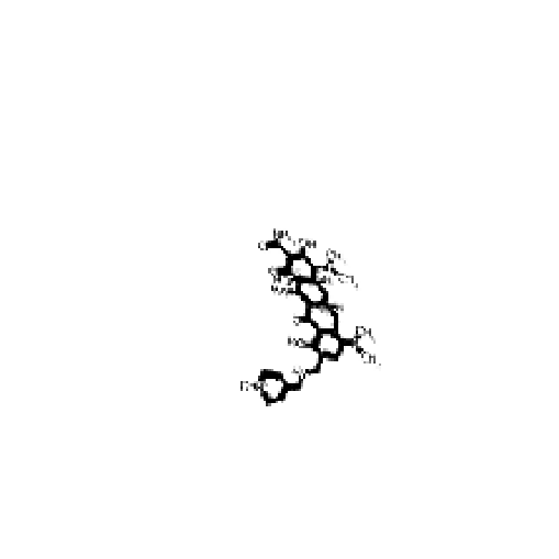 CN(C)c1cc(CNCc2cc[n+]([O-])cc2)c(O)c2c1C[C@H]1C[C@H]3[C@H](N(C)C)C(O)=C(C(N)=O)C(=O)[C@@]3(O)C(O)=C1C2=O